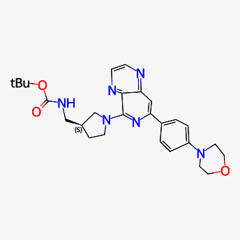 CC(C)(C)OC(=O)NC[C@@H]1CCN(c2nc(-c3ccc(N4CCOCC4)cc3)cc3nccnc23)C1